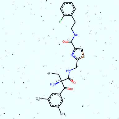 CC(C)C[C@](N)(C(=O)NCc1nc(C(=O)NCCc2ccccc2F)cs1)C(=O)c1cc([N+](=O)[O-])cc([N+](=O)[O-])c1